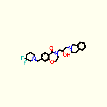 O=C1c2ccc(CN3CCCC(F)(F)C3)cc2OCCN1C[C@H](O)CN1CCc2ccccc2C1